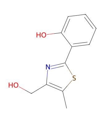 Cc1sc(-c2ccccc2O)nc1CO